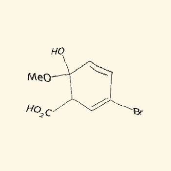 COC1(O)C=CC(Br)=CC1C(=O)O